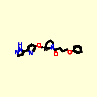 O=C(CCCOc1ccccc1)N1CCC[C@@H](COc2ccc(-c3ccn[nH]3)nc2)C1